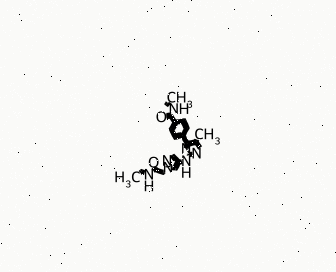 CCNC(=O)Cn1cc(Nc2ncc(C)c(-c3ccc(C(=O)NCC)cc3)n2)cn1